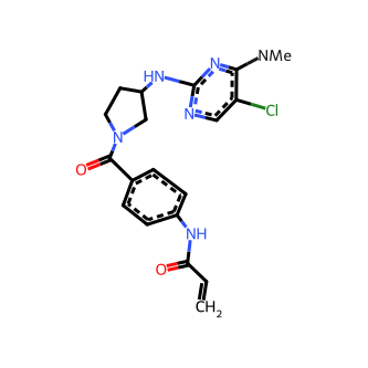 C=CC(=O)Nc1ccc(C(=O)N2CCC(Nc3ncc(Cl)c(NC)n3)C2)cc1